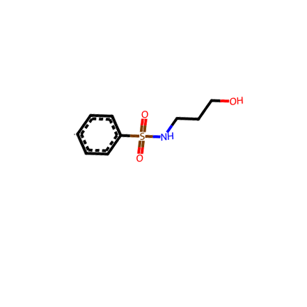 O=S(=O)(NCCCO)c1cc[c]cc1